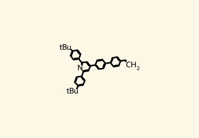 C=Cc1ccc(-c2ccc(-c3cc(-c4ccc(C(C)(C)C)cc4)nc(-c4ccc(C(C)(C)C)cc4)c3)cc2)cc1